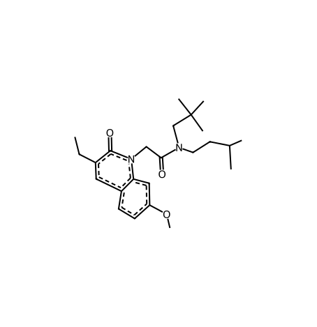 CCc1cc2ccc(OC)cc2n(CC(=O)N(CCC(C)C)CC(C)(C)C)c1=O